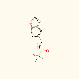 CC(C)(C)[S+]([O-])/N=C/c1ccc2occc2c1